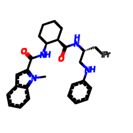 CC(C)C[C@H](CNc1ccccc1)NC(=O)[C@@H]1CCCC[C@@H]1NC(=O)c1cc2ccccc2n1C